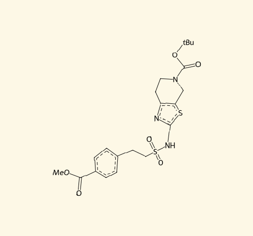 COC(=O)c1ccc(CCS(=O)(=O)Nc2nc3c(s2)CN(C(=O)OC(C)(C)C)CC3)cc1